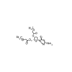 COCC(=O)OC[C@H]1OC(n2cnc(N)nc2=O)C[C@H]1OC(=O)COC